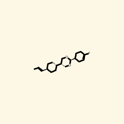 C/C=C/[C@H]1CC[C@H]([C@H]2CO[C@H](C3CC=C(F)CC3)OC2)CC1